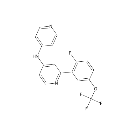 Fc1ccc(OC(F)(F)F)cc1-c1cc(Nc2ccncc2)ccn1